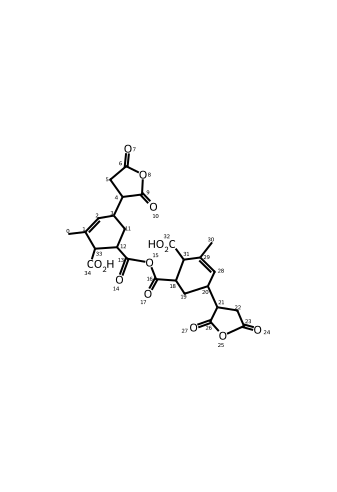 CC1=CC(C2CC(=O)OC2=O)CC(C(=O)OC(=O)C2CC(C3CC(=O)OC3=O)C=C(C)C2C(=O)O)C1C(=O)O